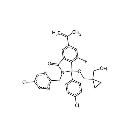 C=C(C)c1cc(F)c2c(c1)C(=O)N(Cc1ncc(Cl)cn1)C2(OCC1(CO)CC1)c1ccc(Cl)cc1